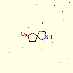 O=C1CCC2(CCNC2)C1